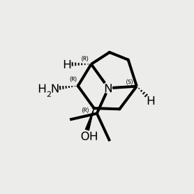 CC(C)N1[C@H]2CC[C@@H]1[C@@H](N)[C@H](O)C2